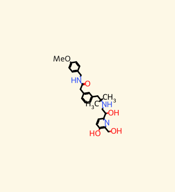 COc1ccc(CNC(=O)Cc2cccc(CC(C)(C)NCC(O)c3ccc(O)c(CO)n3)c2)cc1